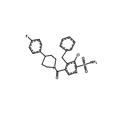 NS(=O)(=O)c1ncc(C(=O)N2CCC(c3ccc(F)cc3)CC2)c(Cc2ccccc2)c1Cl